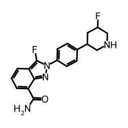 NC(=O)c1cccc2c(F)n(-c3ccc(C4CNCC(F)C4)cc3)nc12